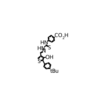 CC(C)(C)c1ccc(-c2scc(C=NNC(=S)Nc3ccc(C(=O)O)cc3)c2O)cc1